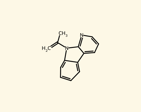 C=C(C)n1c2ccccc2c2cccnc21